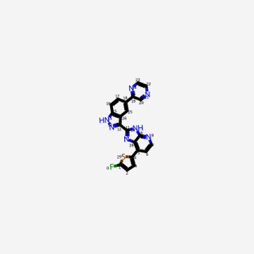 Fc1ccc(-c2ccnc3[nH]c(-c4n[nH]c5ccc(-c6cnccn6)cc45)nc23)s1